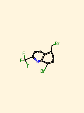 FC(F)(F)c1ccc2c(CBr)ccc(Br)c2n1